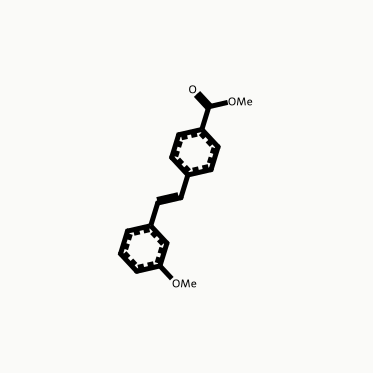 COC(=O)c1ccc(C=Cc2cccc(OC)c2)cc1